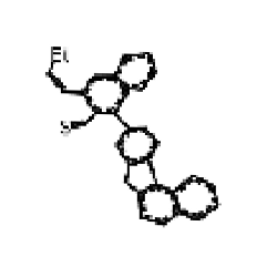 CC/C=C\c1cc2ccccc2c(-c2ccc3c(c2)Cc2ccc4ccccc4c2-3)c1C=S